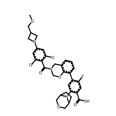 COCC1CN(c2cc(Cl)c(C(=O)N3COc4c(cccc4-c4cc(N5C6CCC5COC6)c(C(=O)O)cc4F)C3)c(Cl)c2)C1